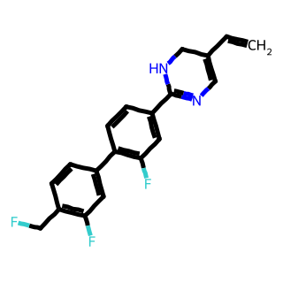 C=CC1=CN=C(c2ccc(-c3ccc(CF)c(F)c3)c(F)c2)NC1